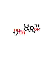 C=P(O)(O)COc1cc(C)c(Cc2ccc(O)c(C)c2)c(C)c1